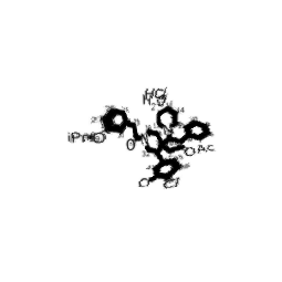 CC(=O)OCCC1(C(Cc2ccccc2)N2CCCCC2)CCN(C(=O)Cc2cccc(OC(C)C)c2)CC1c1ccc(Cl)c(Cl)c1.Cl.O